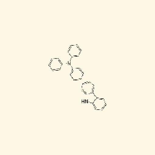 c1ccc(N(c2ccccc2)c2ccccc2)cc1.c1ccc2c(c1)[nH]c1ccccc12